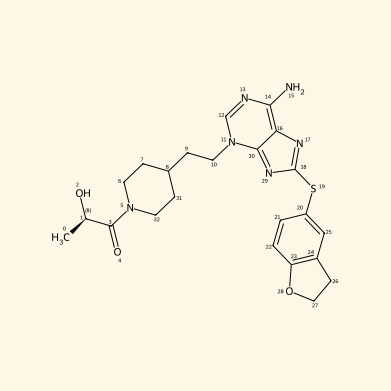 C[C@@H](O)C(=O)N1CCC(CCn2cnc(N)c3nc(Sc4ccc5c(c4)CCO5)nc2-3)CC1